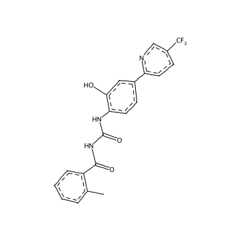 Cc1ccccc1C(=O)NC(=O)Nc1ccc(-c2ccc(C(F)(F)F)cn2)cc1O